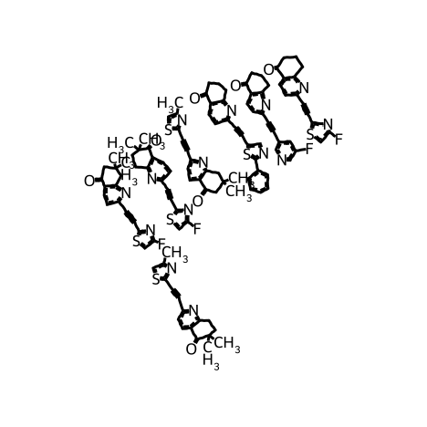 CC1(C)CC(=O)c2ccc(C#Cc3nc(F)cs3)nc2C1.CC1(C)CCc2nc(C#Cc3nc(F)cs3)ccc2C1=O.Cc1csc(C#Cc2ccc3c(n2)CC(C)(C)CC3=O)n1.Cc1csc(C#Cc2ccc3c(n2)CCC(C)(C)C3=O)n1.O=C1CCCc2nc(C#Cc3cnc(-c4ccccc4)s3)ccc21.O=C1CCCc2nc(C#Cc3cncc(F)c3)ccc21.O=C1CCCc2nc(C#Cc3nc(F)cs3)ccc21